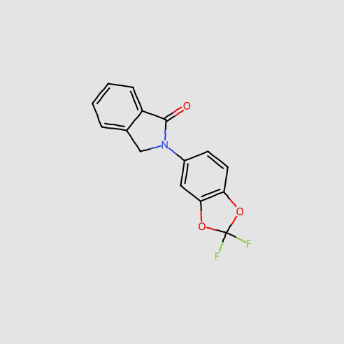 O=C1c2ccccc2CN1c1ccc2c(c1)OC(F)(F)O2